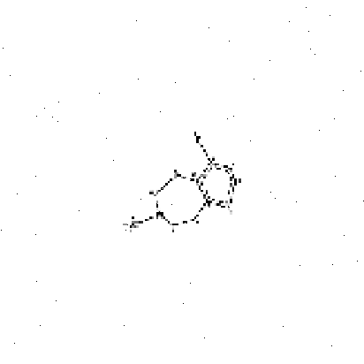 CN1CCc2cccc(F)c2CC1